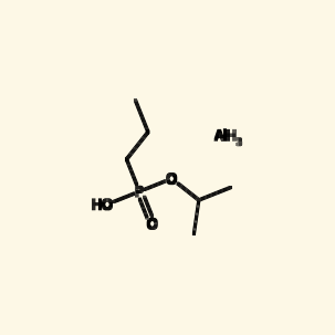 CCCP(=O)(O)OC(C)C.[AlH3]